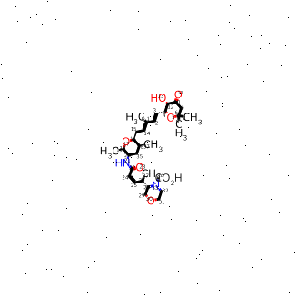 CC(/C=C/[C@H]1OC(C)(C)CC(=O)[C@@H]1O)=C\C[C@@H]1O[C@H](C)[C@H](NC(=O)/C=C\C(C)[C@H]2COCCN2C(=O)O)C[C@@H]1C